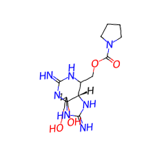 N=C1N[C@H]2C(COC(=O)N3CCCC3)NC(=N)N3CCC(O)(O)C23N1